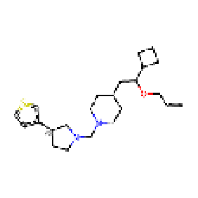 C=CCOC(CC1CCN(CN2CC[C@@H](c3ccsc3)C2)CC1)C1CCC1